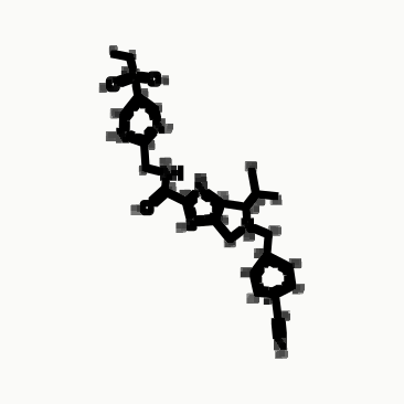 CCS(=O)(=O)c1cnc(CNC(=O)c2nc3c(s2)CN(Cc2ccc(C#N)cc2)C3C(C)C)nc1